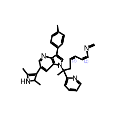 C=N/C=C\C=C/CC(C)(c1ccccn1)n1cc(-c2ccc(C)cc2)c2ncc(C3=C(C)NC3C)cc21